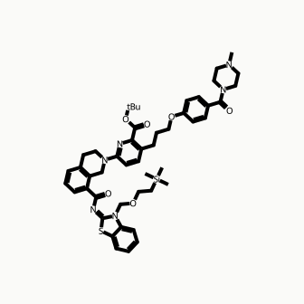 CN1CCN(C(=O)c2ccc(OCCCc3ccc(N4CCc5cccc(C(=O)/N=c6/sc7ccccc7n6COCC[Si](C)(C)C)c5C4)nc3C(=O)OC(C)(C)C)cc2)CC1